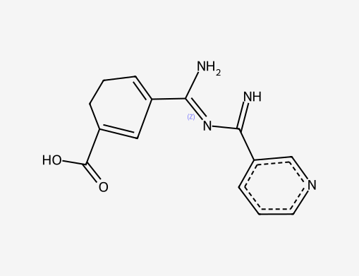 N=C(/N=C(\N)C1=CCCC(C(=O)O)=C1)c1cccnc1